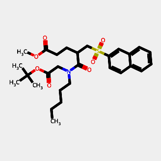 CCCCCN(CC(=O)OC(C)(C)C)C(=O)C(CCC(=O)OC)CS(=O)(=O)c1ccc2ccccc2c1